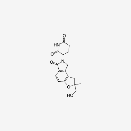 CC1(CO)Cc2c(ccc3c2CN(C2CCC(=O)NC2=O)C3=O)O1